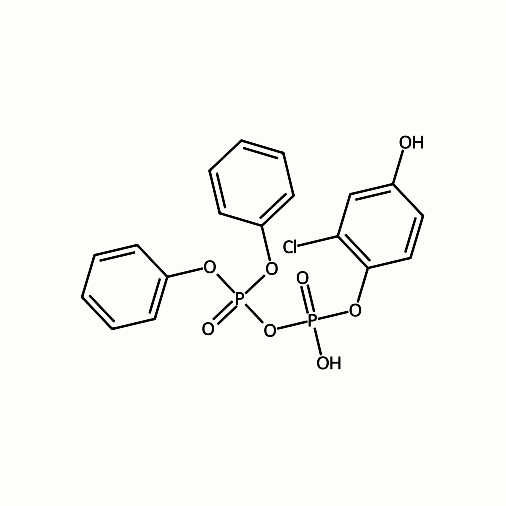 O=P(O)(Oc1ccc(O)cc1Cl)OP(=O)(Oc1ccccc1)Oc1ccccc1